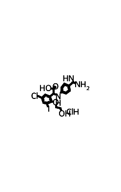 Cl.N=C(N)c1ccc(NC(C(=O)O)c2cc(Cl)cc(I)c2OCCO)cc1